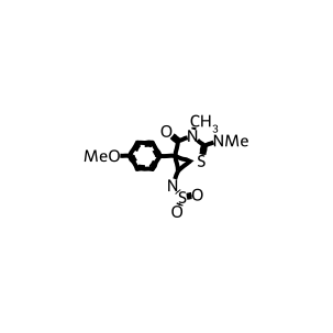 CNC(=S)N(C)C(=O)C1(c2ccc(OC)cc2)CC1N=S(=O)=O